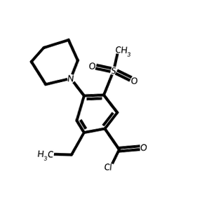 CCc1cc(N2CCCCC2)c(S(C)(=O)=O)cc1C(=O)Cl